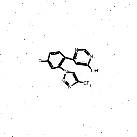 Oc1cc(-c2ccc(F)cc2-n2cc(C(F)(F)F)nn2)ncn1